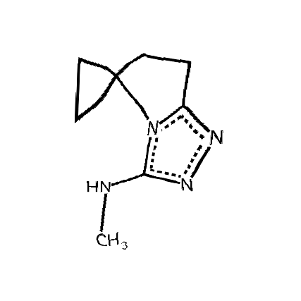 CNc1nnc2n1C1(CC2)CC1